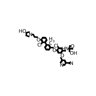 Cc1c(COc2cc(OCc3cncc(C#N)c3)c(CNC3(CO)COC3)cc2Cl)cccc1-c1cccc(OCCCN2CC[C@@H](O)C2)c1Cl